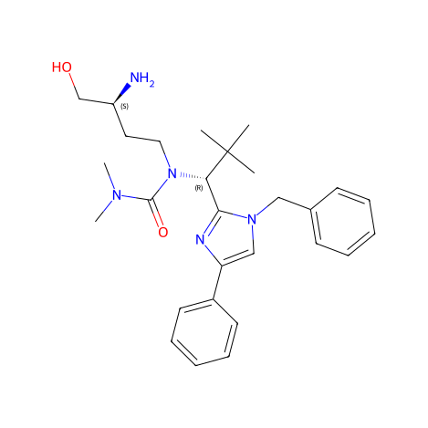 CN(C)C(=O)N(CC[C@H](N)CO)[C@@H](c1nc(-c2ccccc2)cn1Cc1ccccc1)C(C)(C)C